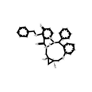 O=C1c2c(OCc3ccccc3)c(=O)ccn2N2CN1C[C@H]1C[C@@H]1COc1ccccc1C2c1ccccc1